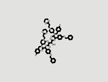 O=C(OC(C(=O)N(Cc1ccc(F)cc1)C1CCN(CCC2OCCCO2)CC1)c1ccc(OCc2ccccc2)cc1)C(O)C(O)C(=O)OC(C(=O)N(Cc1ccc(F)cc1)C1CCN(CCC2OCCCO2)CC1)c1ccc(OCc2ccccc2)cc1